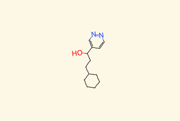 OC(CCC1CCCCC1)c1ccnnc1